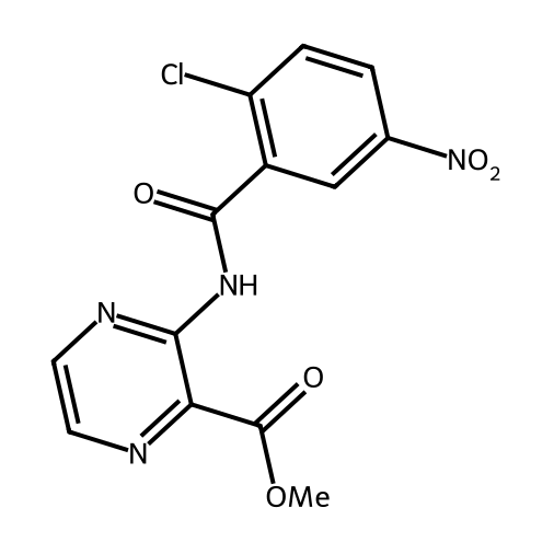 COC(=O)c1nccnc1NC(=O)c1cc([N+](=O)[O-])ccc1Cl